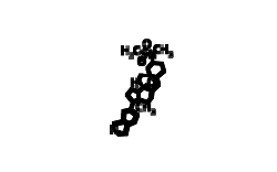 CN([C@H]1CCC2=CC3=CC[C@]4(C)C(c5ccc6ccncc6c5)CC[C@H]4[C@@]34CC[C@]2(C1)O4)S(C)(=O)=O